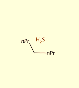 CCCCCCC.S